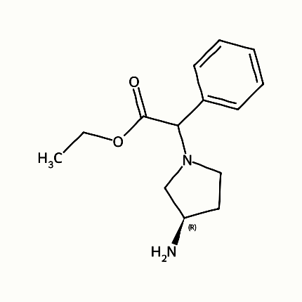 CCOC(=O)C(c1ccccc1)N1CC[C@@H](N)C1